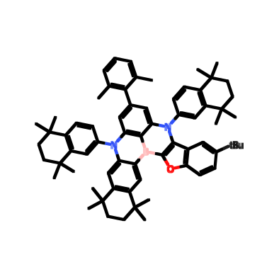 Cc1cccc(C)c1-c1cc2c3c(c1)N(c1ccc4c(c1)C(C)(C)CCC4(C)C)c1c(oc4ccc(C(C)(C)C)cc14)B3c1cc3c(cc1N2c1ccc2c(c1)C(C)(C)CCC2(C)C)C(C)(C)CCC3(C)C